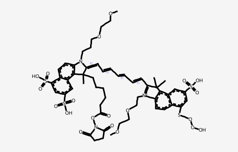 COCCOCCCN1/C(=C/C=C/C=C/C=C/C2=[N+](CCOCCOC)c3ccc4c(SOOO)cc(S(=O)(=O)O)cc4c3C2(C)C)C(C)(CCCCCC(=O)ON2C(=O)CCC2=O)c2c1ccc1c(S(=O)(=O)O)cc(S(=O)(=O)O)cc21